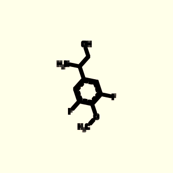 COc1c(F)cc(C(N)CO)cc1F